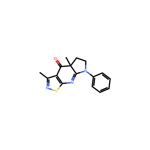 Cc1nsc2c1C(=O)C1(C)CCN(c3ccccc3)C1=N2